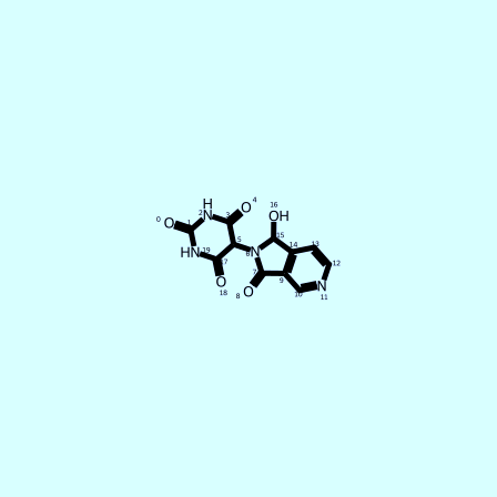 O=C1NC(=O)C(N2C(=O)c3cnccc3C2O)C(=O)N1